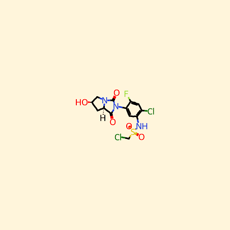 O=C1[C@H]2C[C@@H](O)CN2C(=O)N1c1cc(NS(=O)(=O)CCl)c(Cl)cc1F